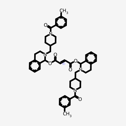 Cc1cccc(C(=O)N2CCC(CN3CCc4ccccc4C3OC(=O)/C=C/C(=O)OC3c4ccccc4CCN3CC3CCN(C(=O)c4cccc(C)c4)CC3)CC2)c1